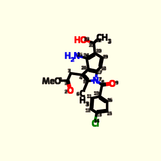 COC(=O)Cc1c(C)n(C(=O)c2ccc(Cl)cc2)c2ccc(C(C)O)c(N)c12